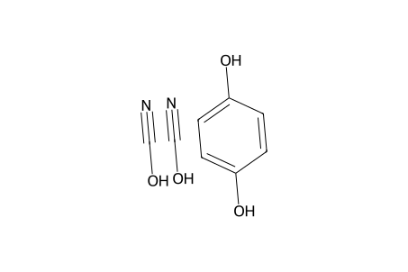 N#CO.N#CO.Oc1ccc(O)cc1